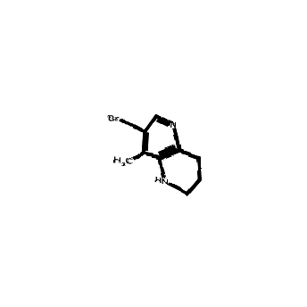 Cc1c(Br)cnc2c1NCCC2